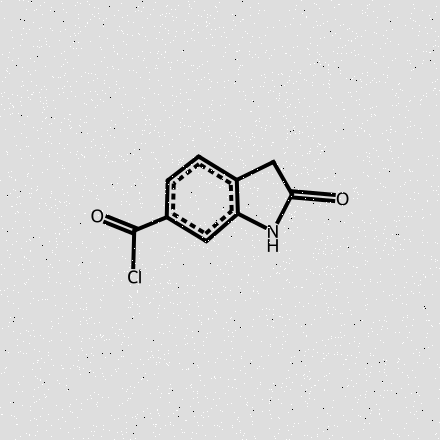 O=C1Cc2ccc(C(=O)Cl)cc2N1